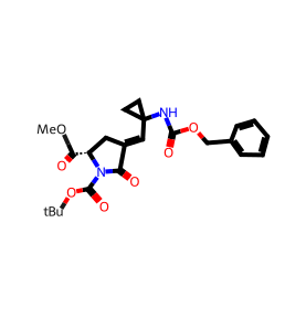 COC(=O)[C@@H]1C/C(=C\C2(NC(=O)OCc3ccccc3)CC2)C(=O)N1C(=O)OC(C)(C)C